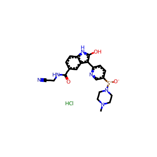 CN1CCN([S+]([O-])c2ccc(-c3c(O)[nH]c4ccc(C(=O)NCC#N)cc34)nc2)CC1.Cl